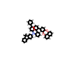 CC1(C)c2ccccc2-c2ccc(N(c3ccc(-c4ccccc4)cc3)c3ccccc3-c3ccccc3-c3ccc4c(c3)Oc3cccc5cccc(c35)O4)cc21